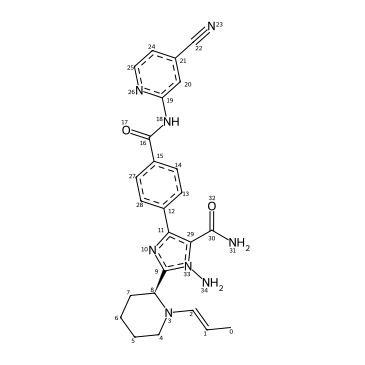 CC=CN1CCCC[C@H]1c1nc(-c2ccc(C(=O)Nc3cc(C#N)ccn3)cc2)c(C(N)=O)n1N